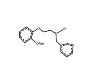 CCN(CCOc1ccccc1OC)Cc1ccccc1